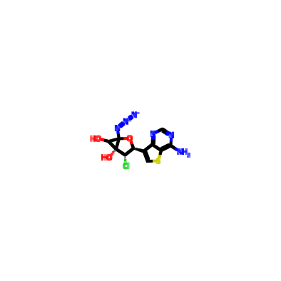 [N-]=[N+]=NC12O[C@@H](c3csc4c(N)ncnc34)[C@H](Cl)[C@@]1(O)C2O